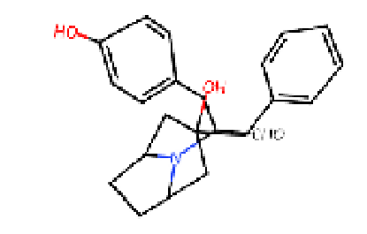 O=CC(Cc1ccc(O)cc1)N1C2CCC1CC(O)(Cc1ccccc1)C2